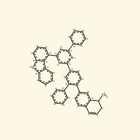 CC1CC=Cc2ccc(-c3ccc(-c4nc(-c5ccccc5)nc(-c5cccc6oc7ccccc7c56)n4)cc3-c3ccccc3)cc21